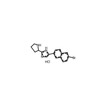 Brc1ccc2cc(-c3cnc(C4CCCN4)[nH]3)ccc2c1.Cl